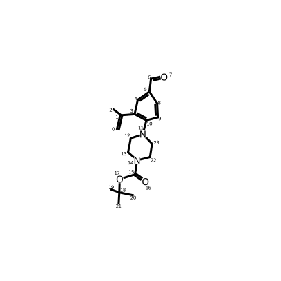 C=C(C)c1cc(C=O)ccc1N1CCN(C(=O)OC(C)(C)C)CC1